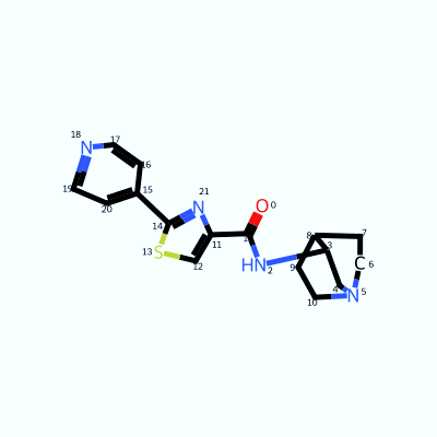 O=C(NC1CN2CCC1CC2)c1csc(-c2ccncc2)n1